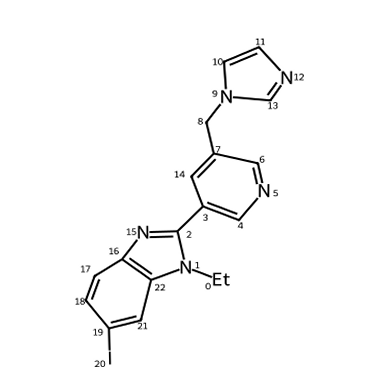 CCn1c(-c2cncc(Cn3ccnc3)c2)nc2ccc(I)cc21